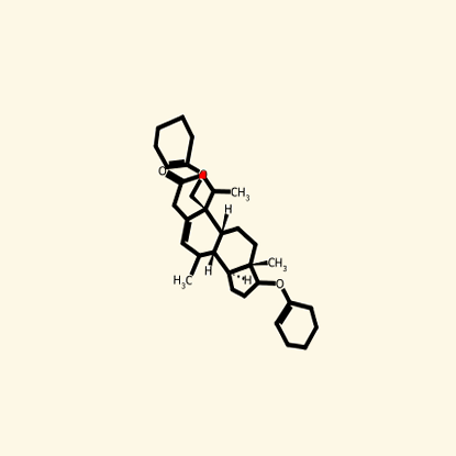 CC1C=C2CC(=O)CC(C)[C@]2(COC2=CCCCC2)[C@@H]2CC[C@]3(C)C(OC4=CCCCC4)CC[C@H]3[C@H]12